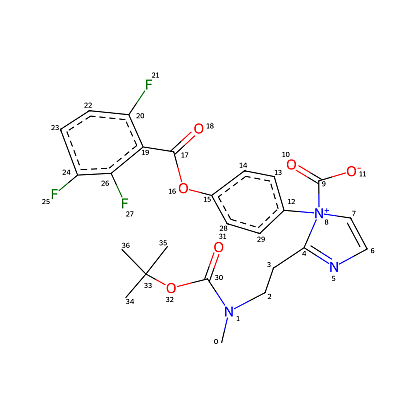 CN(CCC1=NC=C[N+]1(C(=O)[O-])c1ccc(OC(=O)c2c(F)ccc(F)c2F)cc1)C(=O)OC(C)(C)C